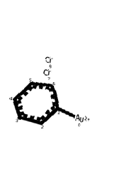 [Au+2][c]1ccccc1.[Cl-].[Cl-]